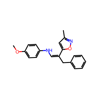 COc1ccc(NC=C(Cc2ccccc2)c2cc(C)no2)cc1